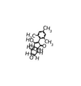 Cc1cc(C)c(C2=C(O)[C@@H]3[C@@H]4O[C@@H]([C@H]5O[C@H]54)[C@@H]3C2=O)c(C)c1